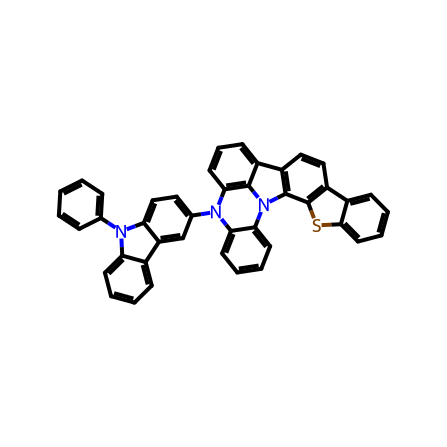 c1ccc(-n2c3ccccc3c3cc(N4c5ccccc5-n5c6c4cccc6c4ccc6c7ccccc7sc6c45)ccc32)cc1